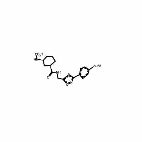 CCCCCCCCCCc1ccc(-c2noc(CNC(=O)[C@@H]3CCC[C@H](NC(=O)O)C3)n2)cc1